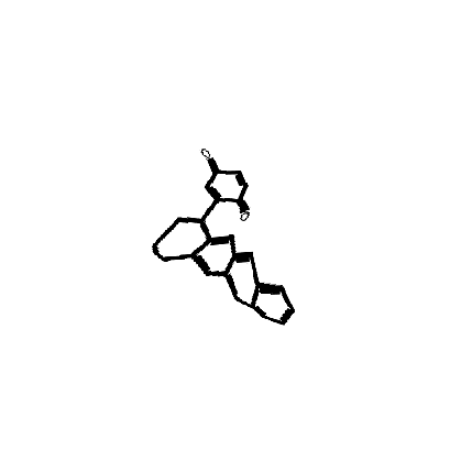 O=C1C=CC(=O)C(C2CCCc3cc4cc5ccccc5cc4cc32)=C1